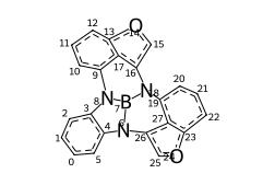 c1ccc2c(c1)N1B3N2c2cccc4occ(c24)N3c2cccc3occ1c23